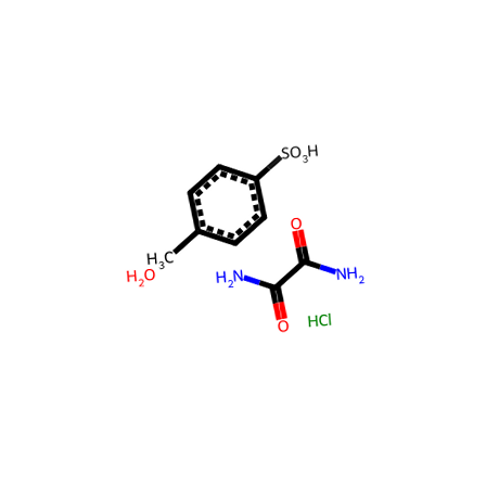 Cc1ccc(S(=O)(=O)O)cc1.Cl.NC(=O)C(N)=O.O